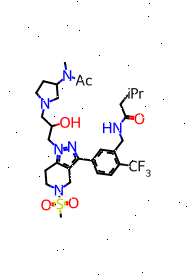 CC(=O)N(C)C1CCN(CC(O)Cn2nc(-c3ccc(C(F)(F)F)c(CNC(=O)CC(C)C)c3)c3c2CCN(S(C)(=O)=O)C3)C1